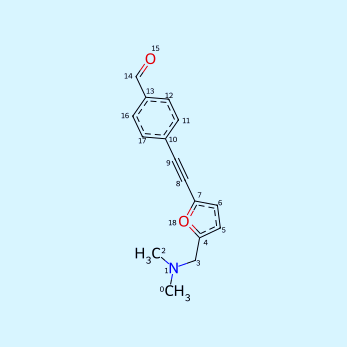 CN(C)Cc1ccc(C#Cc2ccc(C=O)cc2)o1